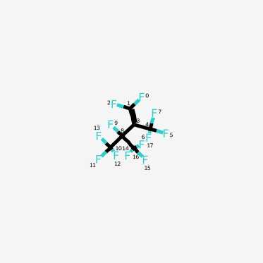 FC(F)=C(C(F)(F)F)C(F)(C(F)(F)F)C(F)(F)F